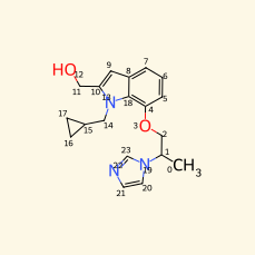 CC(COc1cccc2cc(CO)n(CC3CC3)c12)n1ccnc1